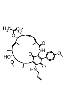 C=CCNC1=C2C[C@@H](C)C[C@H](OC)[C@H](O)[C@@H](C)/C=C(\C)[C@H](OC(N)=O)[C@@H](OC)/C=C\C=C(/C)C(=O)NC(=C(c3ccc(OC)cc3)C1=O)C2=O